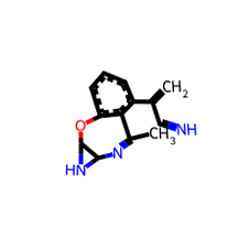 C=C(C=N)c1cccc2c1C(C)=NC1NC1O2